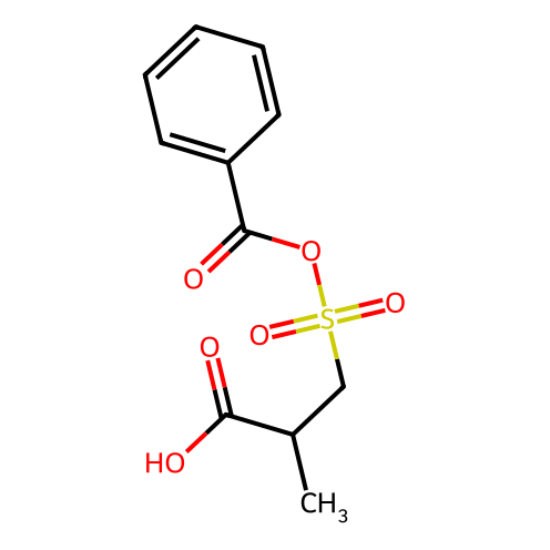 CC(CS(=O)(=O)OC(=O)c1ccccc1)C(=O)O